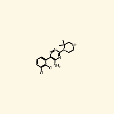 CC1(C)CNCCN1c1nnc(-c2cccc(Cl)c2Cl)c(N)n1